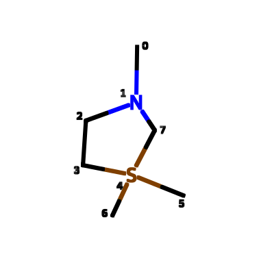 CN1CCS(C)(C)C1